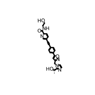 C[C@H](O)c1nccn1Cc1cc(-c2ccc(C#Cc3ccc(C(=O)NCCO)nc3)cc2)on1